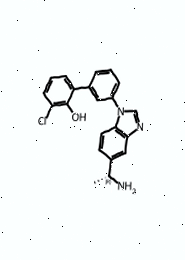 C[C@@H](N)c1ccc2c(c1)ncn2-c1cccc(-c2cccc(Cl)c2O)c1